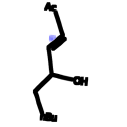 CCCCCC(O)/C=C/C(C)=O